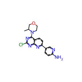 CC1COCCN1c1nc(Cl)nc2nc(-c3ccc(N)nc3)ccc12